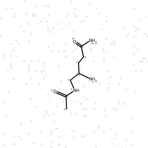 CC(=O)NCC(N)CCC(N)=O